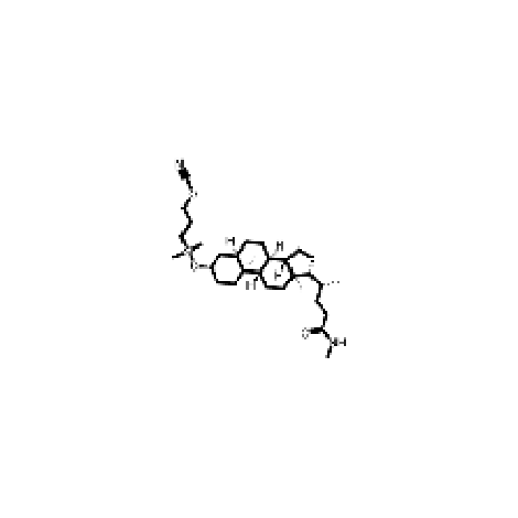 CNC(=O)CC[C@@H](C)[C@H]1CC[C@H]2[C@@H]3CC[C@@H]4C[C@H](O[Si](C)(C)CCCOC#N)CC[C@]4(C)[C@H]3CC[C@]12C